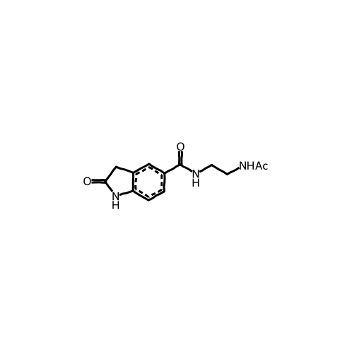 CC(=O)NCCNC(=O)c1ccc2c(c1)CC(=O)N2